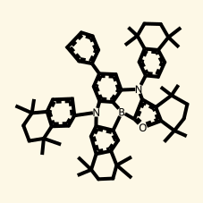 CC1(C)CCC(C)(C)c2cc(N3c4cc5c(cc4B4c6oc7c(c6N(c6ccc8c(c6)C(C)(C)CCC8(C)C)c6cc(-c8ccccc8)cc3c64)C(C)(C)CCC7(C)C)C(C)(C)CCC5(C)C)ccc21